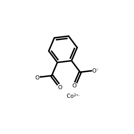 O=C([O-])c1ccccc1C(=O)[O-].[Co+2]